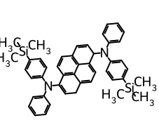 C[Si](C)(C)c1ccc(N(C2=CCc3ccc4c5c(ccc2c35)C=CC4N(c2ccccc2)c2ccc([Si](C)(C)C)cc2)c2ccccc2)cc1